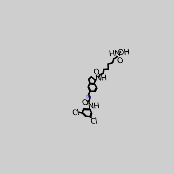 O=C(/C=C/c1ccc2c(c1)CCC2NC(=O)CCCCCCC(=O)NO)Nc1cc(Cl)cc(Cl)c1